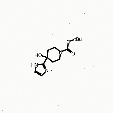 CC(C)(C)OC(=O)N1CCC(O)(c2ncc[nH]2)CC1